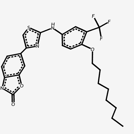 CCCCCCCCOc1ccc(Nc2nc(-c3ccc4[nH]c(=O)oc4c3)cs2)cc1C(F)(F)F